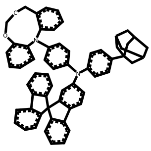 c1ccc2c(c1)CCCOc1ccccc1N2c1ccc(N(c2ccc(C34CC5CC(CC(C5)C3)C4)cc2)c2ccc3c(c2)C2(c4ccccc4-c4ccccc42)c2ccccc2-3)cc1